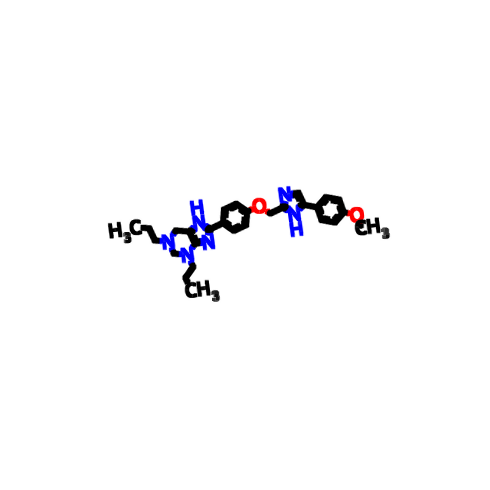 CCCN1Cc2[nH]c(-c3ccc(OCc4ncc(-c5ccc(OC)cc5)[nH]4)cc3)nc2N(CCC)C1